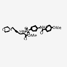 COC(=O)C(CC#CCN1CCOCC1)NS(=O)(=O)c1ccc(NC(=O)c2ccc(OC)cc2)cc1